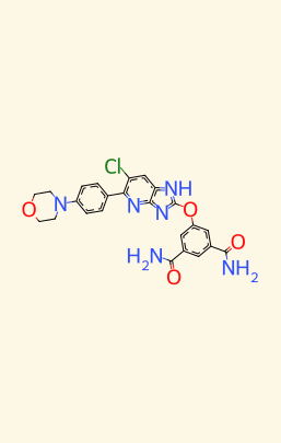 NC(=O)c1cc(Oc2nc3nc(-c4ccc(N5CCOCC5)cc4)c(Cl)cc3[nH]2)cc(C(N)=O)c1